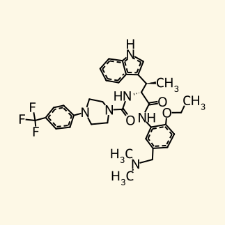 CCOc1ccc(CN(C)C)cc1NC(=O)[C@H](NC(=O)N1CCN(c2ccc(C(F)(F)F)cc2)CC1)[C@H](C)c1c[nH]c2ccccc12